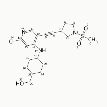 CS(=O)(=O)N1CCC(C#Cc2cnc(Cl)cc2NC2CCC(CO)CC2)C1